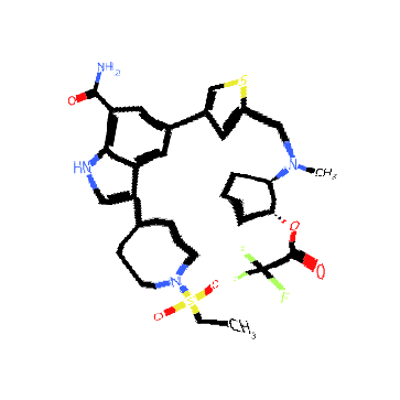 CCS(=O)(=O)N1CCC(c2c[nH]c3c(C(N)=O)cc(-c4csc(CN(C)[C@@H]5CCC[C@H]5OC(=O)C(F)(F)F)c4)cc23)CC1